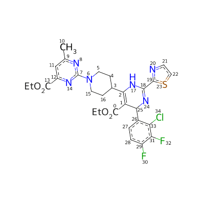 CCOC(=O)C1=C(C2CCN(c3nc(C)cc(C(=O)OCC)n3)CC2)NC(c2nccs2)=NC1c1ccc(F)c(F)c1Cl